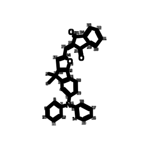 CC1(C)c2cc(N(c3ccccc3)c3ccccc3)ccc2-c2oc(C=C3C(=O)c4ccccc4C3=O)cc21